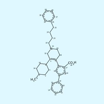 CC1CCC(C2=C(c3cc(-c4ccccc4)sc3C(=O)O)CCN(CCCCc3ccccc3)C2)CC1